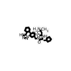 CC(C)(N)CC(=O)N[C@H](Cc1ccccc1)C(=O)NCc1ccc(-c2ccccc2-c2nnn[nH]2)cc1